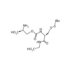 CC(C)(C)SSC[C@H](NC(=O)OC[C@H](N)C(=O)O)C(=O)NCC(=O)O